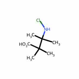 CC(C)(NCl)C(C)(C)C(=O)O